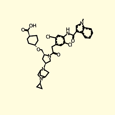 Cn1cc(C(=O)Nc2cc(Cl)c(CC(=O)N3C[C@@H](N4CC5CC4CN5C4CC4)C[C@H]3CO[C@H]3CC[C@H](C(=O)O)CC3)cc2Cl)c2ccccc21